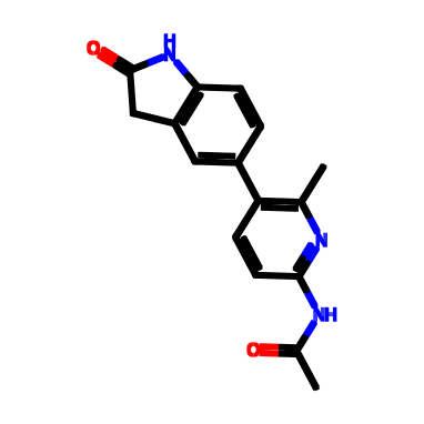 CC(=O)Nc1ccc(-c2ccc3c(c2)CC(=O)N3)c(C)n1